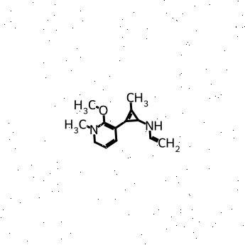 C=CNC1C(C)=C1C1=C(OC)N(C)CC=C1